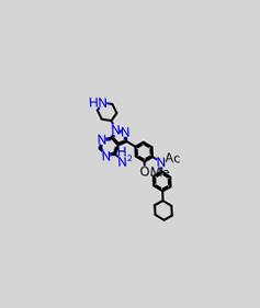 COc1cc(-c2nn(C3CCNCC3)c3ncnc(N)c23)ccc1N(C(C)=O)c1ccc(C2CCCCC2)cc1